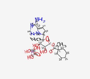 CC1(C(=O)O[C@H]2O[C@@](C#N)(c3ccc4c(N)ncnn34)[C@H](O)[C@@H]2O)CCCCC1.O=P(O)(O)O